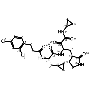 O=C(CCc1ccc(Cl)cc1Cl)N[C@@H](CC1CC1)C(=O)NC(C[C@@H]1CCNC1=O)C(=O)C(=O)NC1CC1